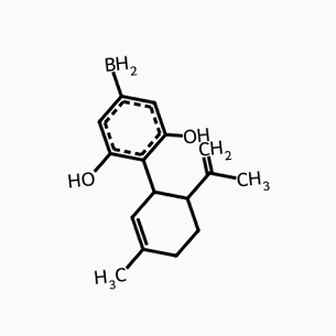 Bc1cc(O)c(C2C=C(C)CCC2C(=C)C)c(O)c1